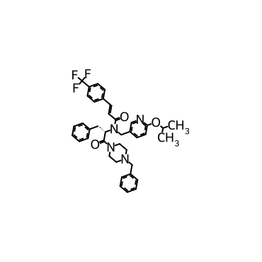 CC(C)Oc1ccc(CN(C(=O)/C=C/c2ccc(C(F)(F)F)cc2)[C@@H](Cc2ccccc2)C(=O)N2CCN(Cc3ccccc3)CC2)cn1